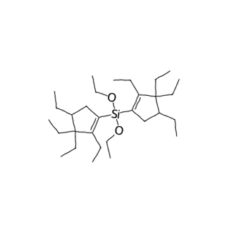 CCO[Si](OCC)(C1=C(CC)C(CC)(CC)C(CC)C1)C1=C(CC)C(CC)(CC)C(CC)C1